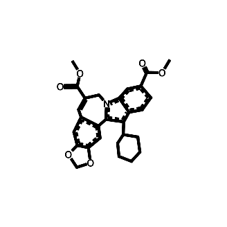 COC(=O)C1=Cc2cc3c(cc2-c2c(C4CCCCC4)c4ccc(C(=O)OC)cc4n2C1)OCO3